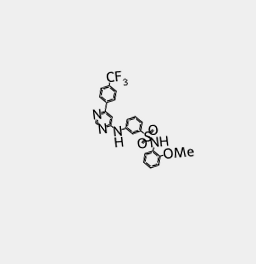 COc1ccccc1NS(=O)(=O)c1cccc(Nc2cc(-c3ccc(C(F)(F)F)cc3)ncn2)c1